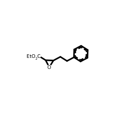 CCOC(=O)C1OC1CCc1ccccc1